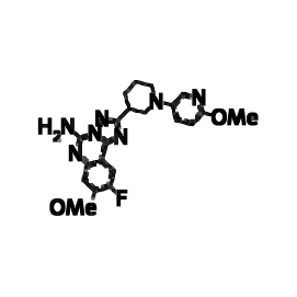 COc1ccc(N2CCCC(c3nc4c5cc(F)c(OC)cc5nc(N)n4n3)C2)cn1